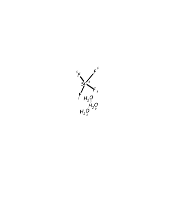 O.O.O.[F][Sn]([F])([F])[F]